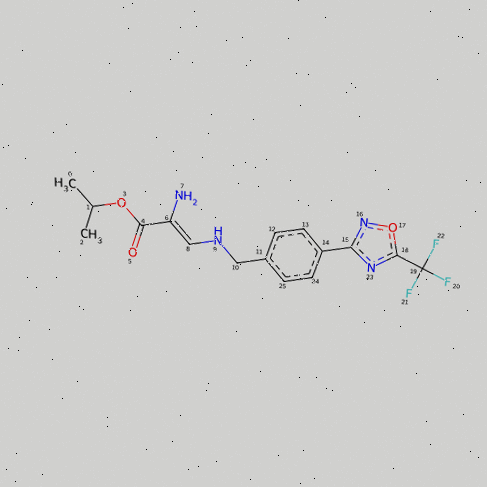 CC(C)OC(=O)/C(N)=C/NCc1ccc(-c2noc(C(F)(F)F)n2)cc1